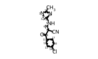 Cc1nsc(N/N=C(\C#N)C(=O)c2ccc(Cl)cc2)n1